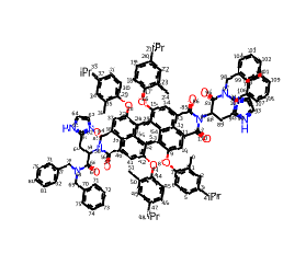 Cc1cc(C(C)C)ccc1Oc1cc2c3c(cc(Oc4ccc(C(C)C)cc4C)c4c5c(Oc6ccc(C(C)C)cc6C)cc6c7c(cc(Oc8ccc(C(C)C)cc8C)c(c1c34)c75)C(=O)N(C(Cc1ncc[nH]1)C(=O)N(Cc1ccccc1)Cc1ccccc1)C6=O)C(=O)N(C(Cc1ncc[nH]1)C(=O)N(Cc1ccccc1)Cc1ccccc1)C2=O